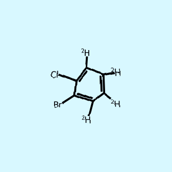 [2H]c1c([2H])c([2H])c(Br)c(Cl)c1[2H]